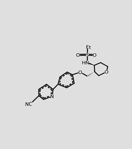 CCS(=O)(=O)N[C@H]1CCOC[C@@H]1COc1ccc(-c2ccc(C#N)cn2)cc1